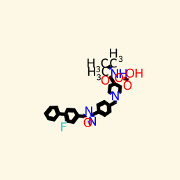 CC(C)(C)NC(=O)C1(OC(=O)O)CCN(Cc2ccc(-c3noc(-c4ccc(-c5ccccc5)c(F)c4)n3)cc2)CC1